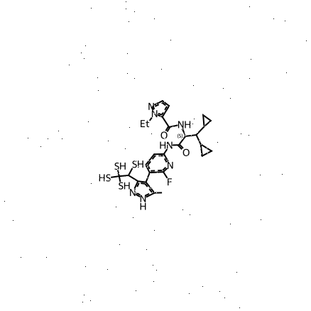 CCn1nccc1C(=O)N[C@H](C(=O)Nc1ccc(-c2c(C(S)C(S)(S)S)n[nH]c2C)c(F)n1)C(C1CC1)C1CC1